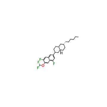 CCCCCC[C@@H]1CC[C@@H]2CC(c3cc(F)c4cc(OC(F)F)c(F)cc4c3)CCC2C1